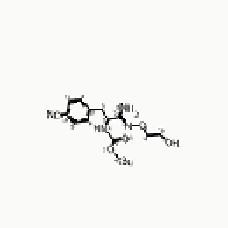 CC(C)(C)OC(=O)N[C@@H](Cc1ccc(C#N)cc1)/C(N)=N/OCCO